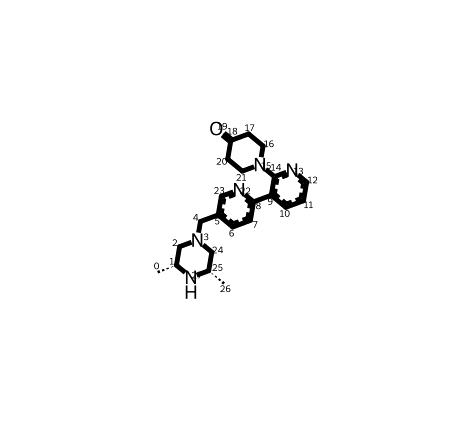 C[C@@H]1CN(Cc2ccc(-c3cccnc3N3CCC(=O)CC3)nc2)C[C@H](C)N1